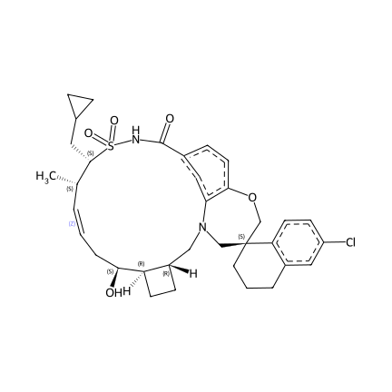 C[C@H]1/C=C\C[C@H](O)[C@@H]2CC[C@H]2CN2C[C@@]3(CCCc4cc(Cl)ccc43)COc3ccc(cc32)C(=O)NS(=O)(=O)[C@H]1CC1CC1